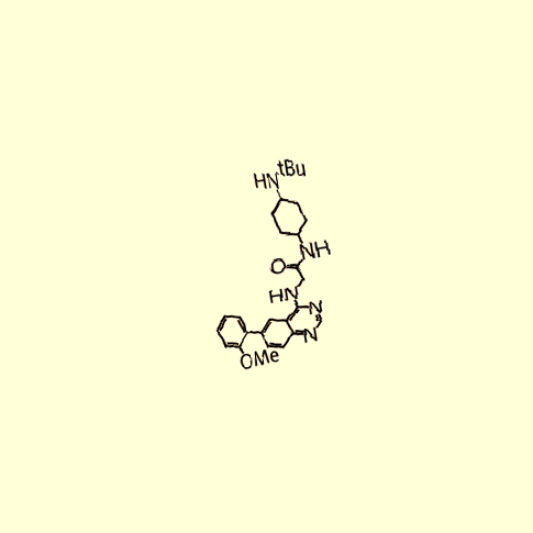 COc1ccccc1-c1ccc2ncnc(NCC(=O)NC3CCC(NC(C)(C)C)CC3)c2c1